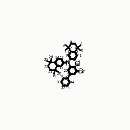 CC1(C)CCC(C)(C)c2cc(N(c3ccc4c(c3)C(C)(C)CCC4(C)C)c3cc(-c4ccccc4)cc(Br)c3Cl)ccc21